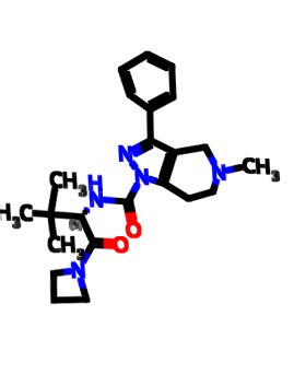 CN1CCc2c(c(-c3ccccc3)nn2C(=O)N[C@H](C(=O)N2CCC2)C(C)(C)C)C1